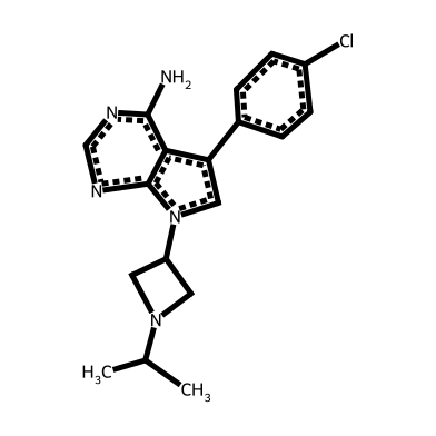 CC(C)N1CC(n2cc(-c3ccc(Cl)cc3)c3c(N)ncnc32)C1